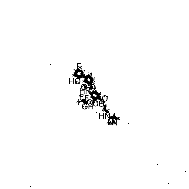 Cn1nccc1NCCCOC(=O)c1ccc(NS(=O)(=O)c2cccc(-c3cc(F)ccc3O)c2)cc1O.O=C(O)C(F)(F)F